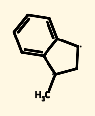 C[C]1C[CH]c2ccccc21